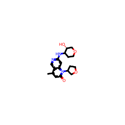 Cc1cc(=O)n(C2CCOC2)c2cc(NC3CCOC[C@H]3O)ncc12